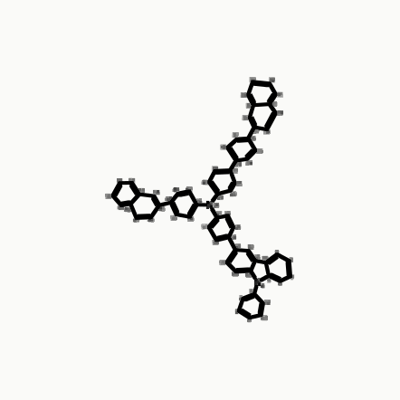 c1ccc(-n2c3ccccc3c3cc(-c4ccc(N(c5ccc(-c6ccc(-c7ccc8ccccc8c7)cc6)cc5)c5ccc(-c6ccc7ccccc7c6)cc5)cc4)ccc32)cc1